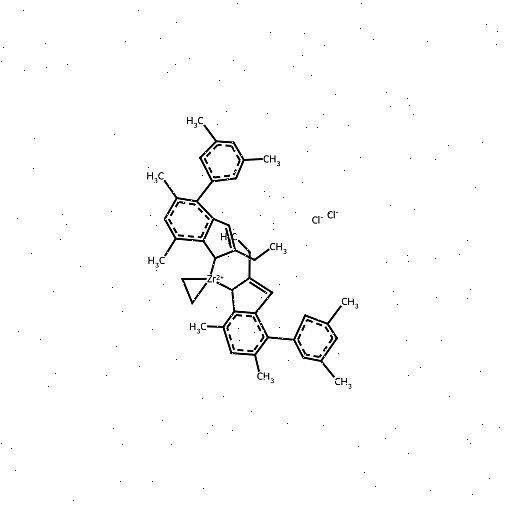 CCC1=Cc2c(-c3cc(C)cc(C)c3)c(C)cc(C)c2[CH]1[Zr+2]1([CH]2C(CC)=Cc3c(-c4cc(C)cc(C)c4)c(C)cc(C)c32)[CH2][CH2]1.[Cl-].[Cl-]